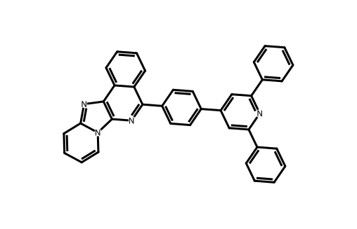 c1ccc(-c2cc(-c3ccc(-c4nc5c(nc6ccccn65)c5ccccc45)cc3)cc(-c3ccccc3)n2)cc1